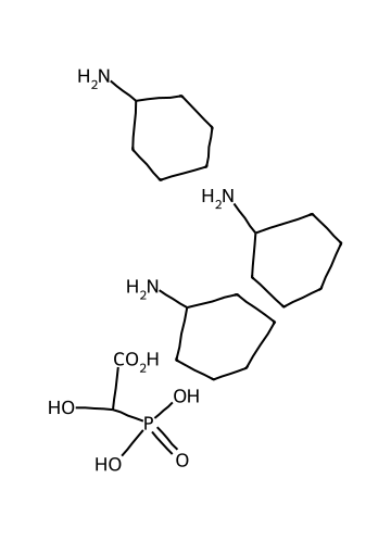 NC1CCCCC1.NC1CCCCC1.NC1CCCCC1.O=C(O)C(O)P(=O)(O)O